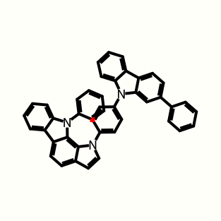 c1ccc(-c2ccc3c4ccccc4n(-c4ccc(-n5ccc6ccc7c8ccccc8n(-c8ccccc8)c7c65)cc4)c3c2)cc1